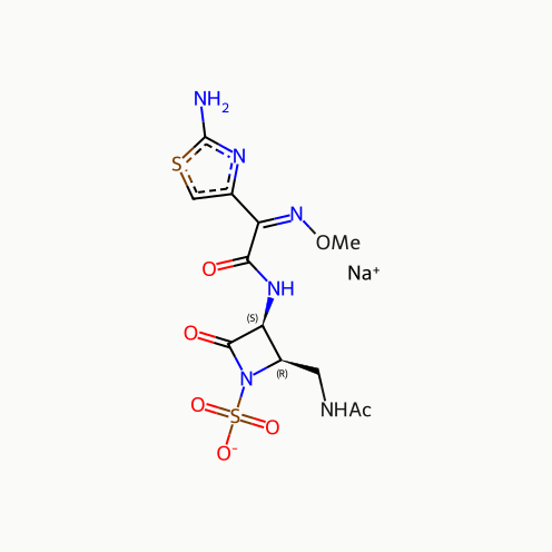 CON=C(C(=O)N[C@@H]1C(=O)N(S(=O)(=O)[O-])[C@@H]1CNC(C)=O)c1csc(N)n1.[Na+]